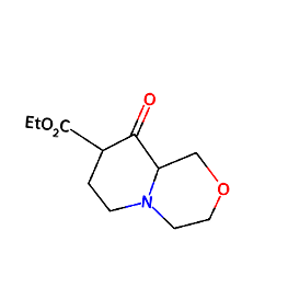 CCOC(=O)C1CCN2CCOCC2C1=O